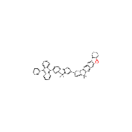 CC1(C)c2cc(-c3ccc4c(c3)-c3cc5cc6c(cc5cc3C4(C)C)oc3ccccc36)ccc2-c2ccc(-c3c4ccccc4c(-c4ccccc4)c4ccccc34)cc21